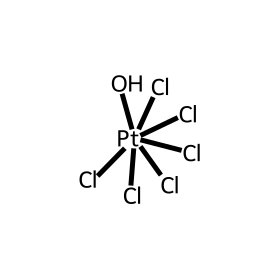 [OH][Pt]([Cl])([Cl])([Cl])([Cl])([Cl])[Cl]